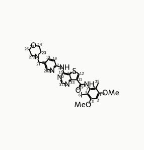 COc1cc(OC)c(I)c(NC(=O)c2csc3c(Nc4ccc(CN5CCOCC5)cn4)ncnc23)c1C